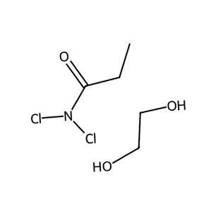 CCC(=O)N(Cl)Cl.OCCO